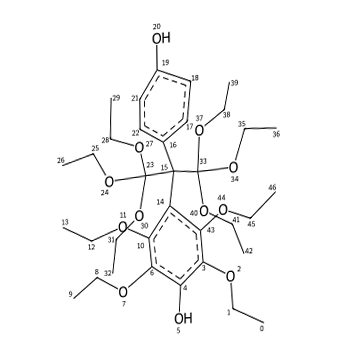 CCOc1c(O)c(OCC)c(OCC)c(C(c2ccc(O)cc2)(C(OCC)(OCC)OCC)C(OCC)(OCC)OCC)c1OCC